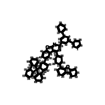 c1ccc(-c2cc(-c3ccccc3)cc(-c3nc(-c4ccc(-c5cccc6c5oc5ccccc56)cc4)c4c(n3)oc3ccc(-c5ccc6c(c5)C5(c7ccccc7-c7ccccc75)c5ccccc5-6)cc34)c2)cc1